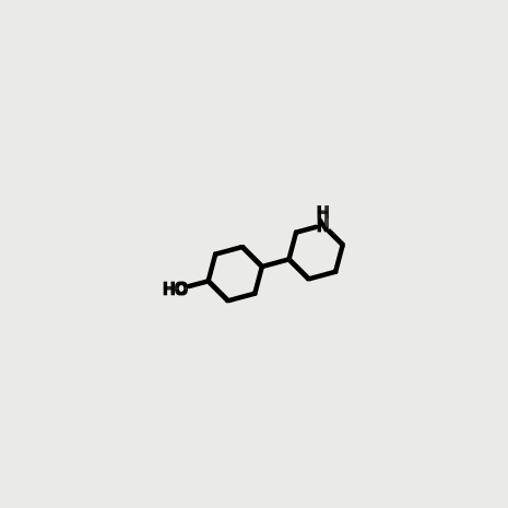 OC1CCC(C2CCCNC2)CC1